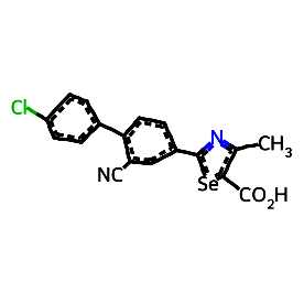 Cc1nc(-c2ccc(-c3ccc(Cl)cc3)c(C#N)c2)[se]c1C(=O)O